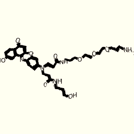 NCCCOCCOCCOCCCNC(=O)CCN(CCC(=O)NCCCO)c1ccc2nc3c4cc(O)ccc4c(=O)cc-3oc2c1